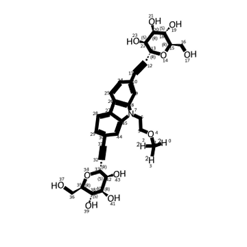 [2H]C([2H])([2H])OCCn1c2cc(C#C[C@H]3O[C@H](CO)[C@@H](O)[C@H](O)[C@@H]3O)ccc2c2ccc(C#C[C@H]3O[C@H](CO)[C@@H](O)[C@H](O)[C@@H]3O)cc21